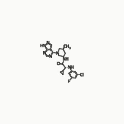 C[C@H]1C[C@@H](NC(=O)[C@H](Nc2cc(F)cc(Cl)c2)C2CC2)CN(c2ncnc3[nH]ncc23)C1